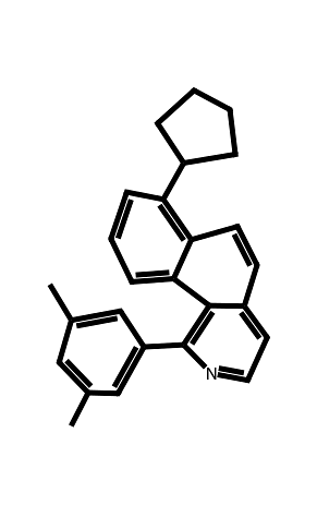 Cc1cc(C)cc(-c2nccc3ccc4c(C5CCCC5)cccc4c23)c1